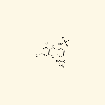 CS(=O)(=O)Nc1ccc(S(N)(=O)=O)cc1Nc1c(Cl)cc(Cl)cc1Cl